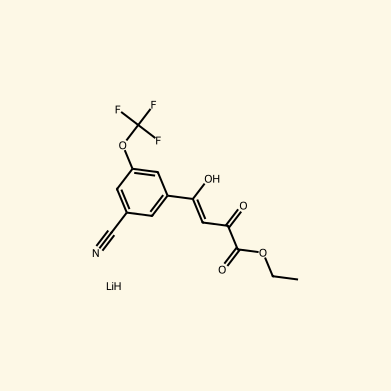 CCOC(=O)C(=O)C=C(O)c1cc(C#N)cc(OC(F)(F)F)c1.[LiH]